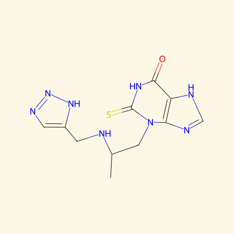 CC(Cn1c(=S)[nH]c(=O)c2[nH]cnc21)NCc1cnn[nH]1